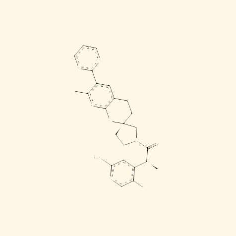 CNc1cc([C@H](C)C(=O)N2CC[C@@]3(CCc4cc(-c5ncccn5)c(C)nc4N3)C2)c(F)cn1